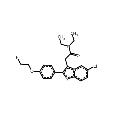 CCN(CC)C(=O)Cc1c(-c2ccc(OCCF)cc2)nc2ccc(Cl)cn12